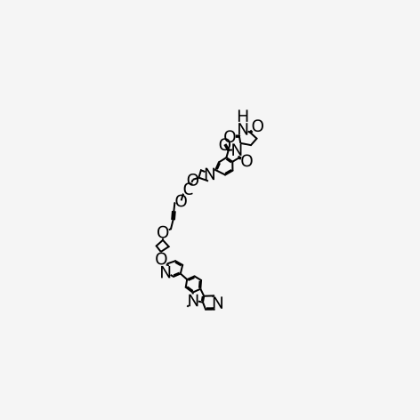 Cn1c2ccncc2c2ccc(-c3ccc(OC4CC(OCC#CCOCCOC5CN(c6ccc7c(c6)C(=O)N(C6CCC(=O)NC6=O)C7=O)C5)C4)nc3)cc21